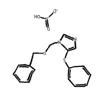 O=[N+]([O-])O.c1ccc(COCn2cncc2Sc2ccccc2)cc1